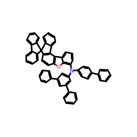 c1ccc(-c2ccc(N(c3cc(-c4ccccc4)cc(-c4ccccc4)c3)c3cccc4c3oc3ccc5c(c34)-c3ccccc3C53c4ccccc4-c4ccccc43)cc2)cc1